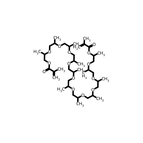 C=C(C)C(=O)OCC(C)OCC(C)OCC(C)OCC(C)OCC(C)OCC(C)OCC(C)OCC(C)OCC(C)OCC(C)OCC(C)OC(=O)C(=C)C